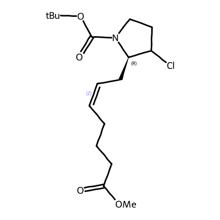 COC(=O)CCC/C=C\C[C@@H]1C(Cl)CCN1C(=O)OC(C)(C)C